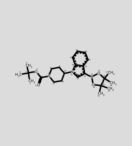 CC(C)(C)OC(=O)N1CCC(n2cc(B3OC(C)(C)C(C)(C)O3)c3ccccc32)CC1